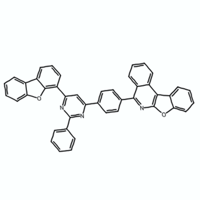 c1ccc(-c2nc(-c3ccc(-c4nc5oc6ccccc6c5c5ccccc45)cc3)cc(-c3cccc4c3oc3ccccc34)n2)cc1